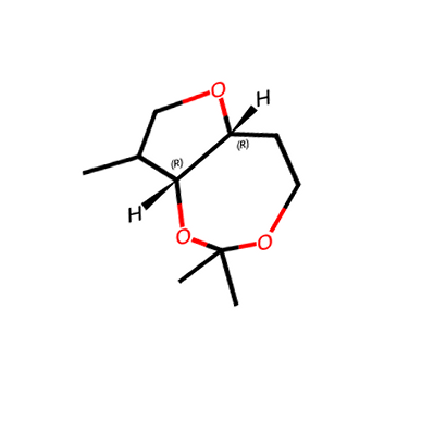 CC1CO[C@@H]2CCOC(C)(C)O[C@H]12